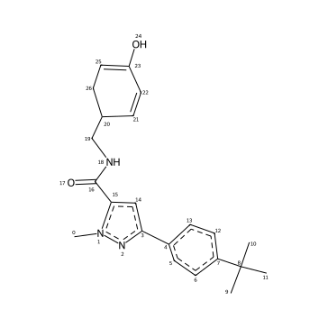 Cn1nc(-c2ccc(C(C)(C)C)cc2)cc1C(=O)NCC1C=CC(O)=CC1